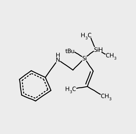 CC(C)=C[Si](CNc1ccccc1)([SiH](C)C)C(C)(C)C